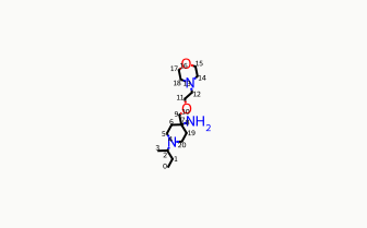 CCC(C)N1CCC(N)(COCCN2CCOCC2)CC1